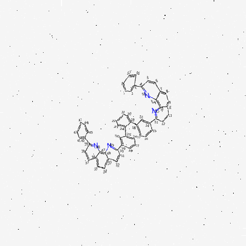 c1ccc(-c2ccc3ccc4ccc(-c5cccc(-c6ccccc6-c6cccc(-c7ccc8ccc9ccc(-c%10ccccc%10)nc9c8n7)c6)c5)nc4c3n2)cc1